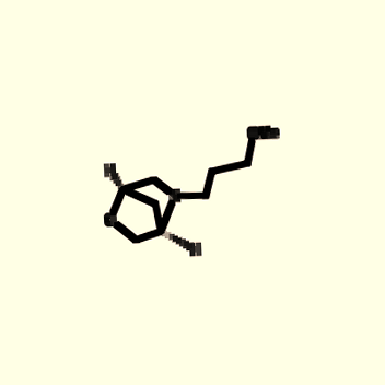 COCCCN1C[C@H]2C[C@@H]1CO2